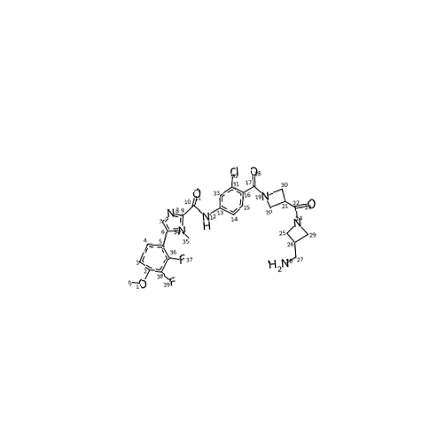 COc1ccc(-c2cnc(C(=O)Nc3ccc(C(=O)N4CC(C(=O)N5CC(CN)C5)C4)c(Cl)c3)n2C)c(F)c1F